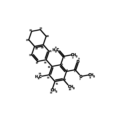 C=C(C)c1c(C(=O)OC)c(C)c(C)c(C)c1-c1ccc2c(c1)CCCC2